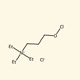 CC[N+](CC)(CC)CCCOCl.[Cl-]